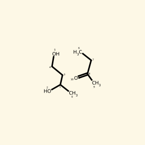 CC(O)CCO.CCC(C)=O